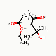 CC(=O)CC(C)(C)O.CCOC(C)=O